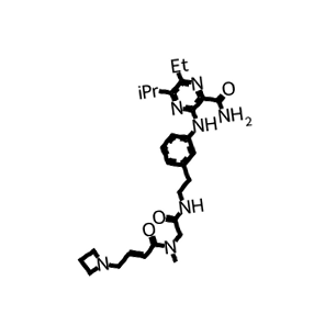 CCc1nc(C(N)=O)c(Nc2cccc(CCNC(=O)CN(C)C(=O)/C=C/CN3CCC3)c2)nc1C(C)C